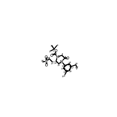 CC(C)(C)OC(=O)N1CC(=O)N(c2cc(I)cc(CF)c2)C[C@@H]1CCS(C)(=O)=O